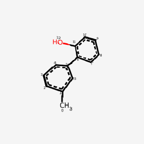 Cc1cccc(-c2[c]cccc2O)c1